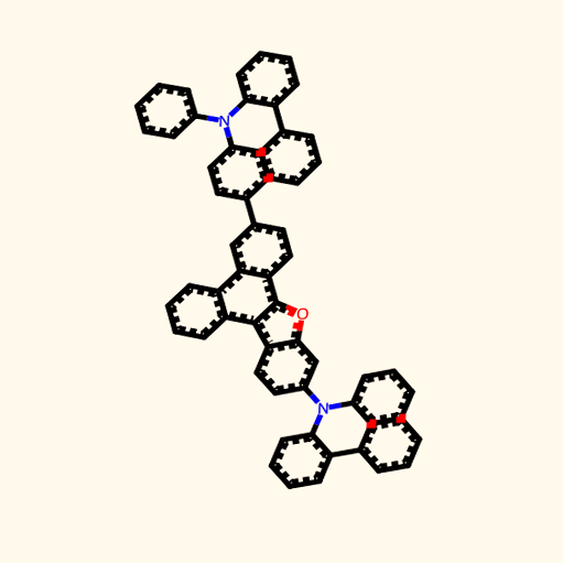 c1ccc(-c2ccccc2N(c2ccccc2)c2ccc(-c3ccc4c(c3)c3ccccc3c3c5ccc(N(c6ccccc6)c6ccccc6-c6ccccc6)cc5oc43)cc2)cc1